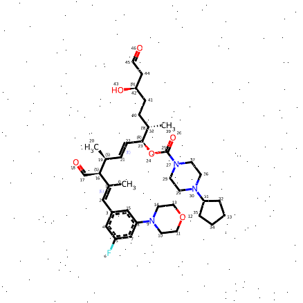 C/C(=C\c1cc(F)cc(N2CCOCC2)c1)[C@@H](C=O)[C@@H](C)/C=C/[C@H](OC(=O)N1CCN(C2CCCC2)CC1)[C@@H](C)CC[C@@H](O)CC=O